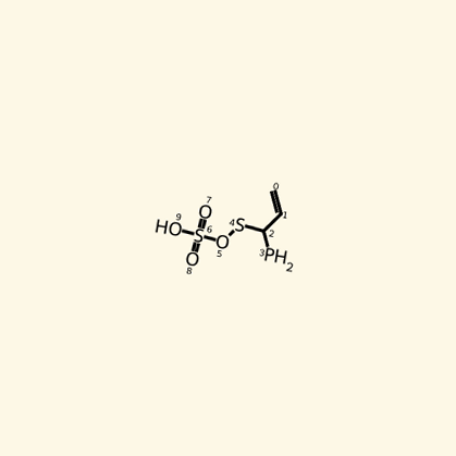 C=CC(P)SOS(=O)(=O)O